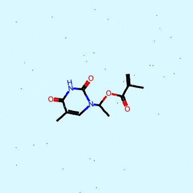 C=C(C)C(=O)OC(C)n1cc(C)c(=O)[nH]c1=O